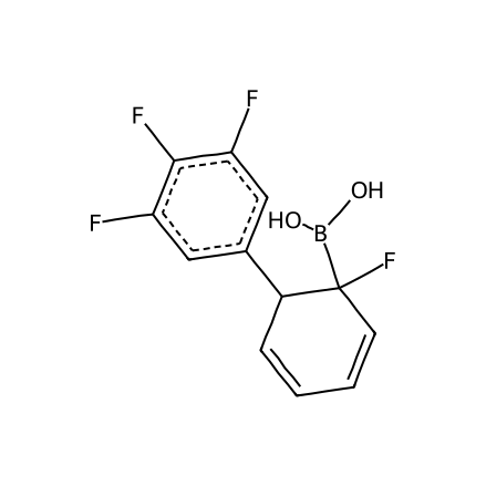 OB(O)C1(F)C=CC=CC1c1cc(F)c(F)c(F)c1